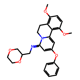 COc1ccc(OC)c2c1CCn1c-2cc(Oc2ccccc2)cc1=NCC1COCCO1